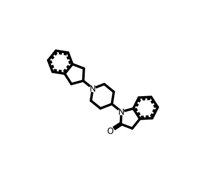 O=C1Cc2ccccc2N1C1CCN(C2Cc3ccccc3C2)CC1